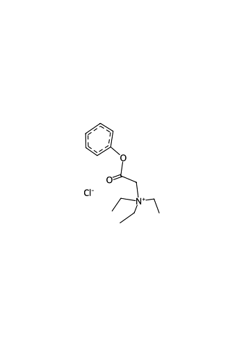 CC[N+](CC)(CC)CC(=O)Oc1ccccc1.[Cl-]